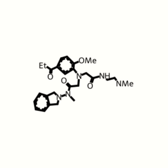 CCC(=O)c1ccc(OC)c(N(CC(=O)NCCNC)CC(=O)N(C)N2Cc3ccccc3C2)c1